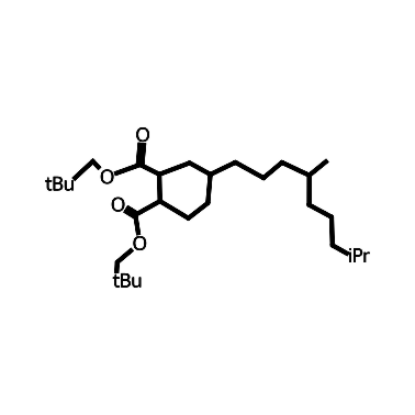 CC(C)CCCC(C)CCCC1CCC(C(=O)OCC(C)(C)C)C(C(=O)OCC(C)(C)C)C1